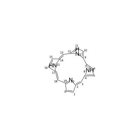 C1=Cc2cc3ccc([nH]3)c3ccc(cc4ccc(cc1n2)[nH]4)[nH]3